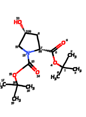 CC(C)(C)OC(=O)[C@H]1C[C@@H](O)CN1C(=O)OC(C)(C)C